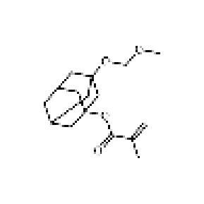 C=C(C)C(=O)OC12CC3CC(CC(OCOC)(C3)C1)C2